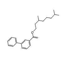 [CH]=C(OCCC(C)CCCC(C)C)c1cc[c]c(-c2ccccc2)c1